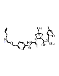 C=CC/N=C\OCc1ccc([C@H](C)NC(=O)[C@@H]2C[C@@H](O)CN2C(O)[C@@H](c2cc(C)no2)C(C)(C)C)cc1